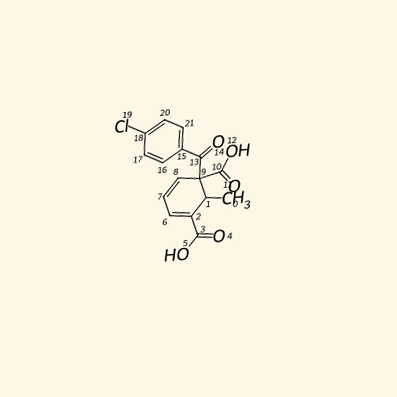 CC1C(C(=O)O)=CC=CC1(C(=O)O)C(=O)c1ccc(Cl)cc1